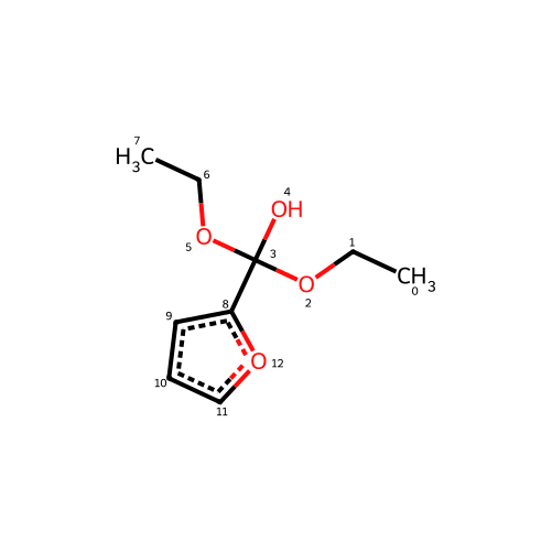 CCOC(O)(OCC)c1ccco1